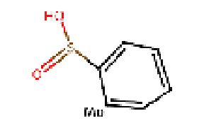 O=S(O)c1ccccc1.[Mo]